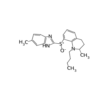 CCCCN1c2c(cccc2[S+]([O-])c2nc3ccc(C)cc3[nH]2)CCC1C